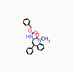 CN1C(=O)C(NC(=O)OCc2ccccc2)C=C(c2ccccc2)c2ccccc21